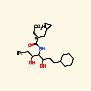 CC(C)CC(O)C(NC(=O)[C@@H](CC(=O)O)CC1CC1)C(O)CCC1CCCCC1